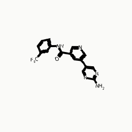 Nc1ncc(-c2cncc(C(=O)Nc3cccc(C(F)(F)F)c3)c2)cn1